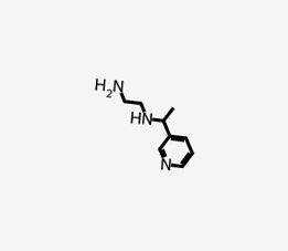 CC(NCCN)c1cccnc1